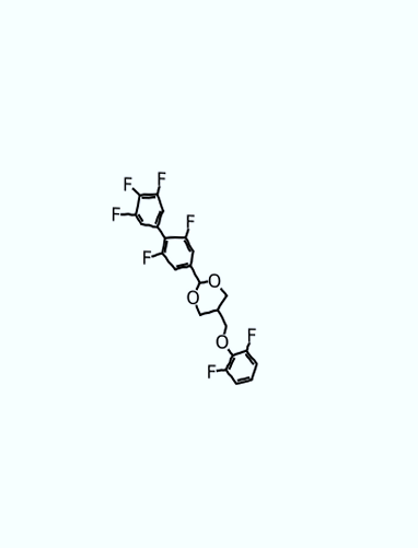 Fc1cc(-c2c(F)cc(C3OCC(COc4c(F)cccc4F)CO3)cc2F)cc(F)c1F